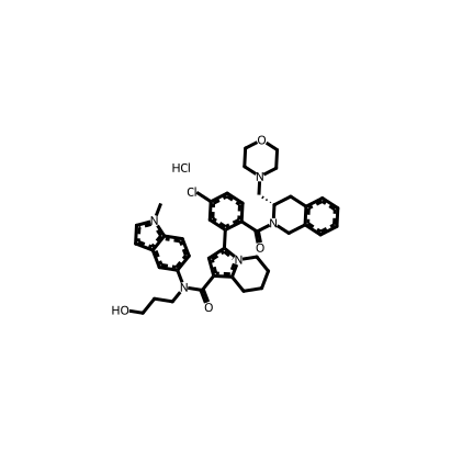 Cl.Cn1ccc2cc(N(CCCO)C(=O)c3cc(-c4cc(Cl)ccc4C(=O)N4Cc5ccccc5C[C@H]4CN4CCOCC4)n4c3CCCC4)ccc21